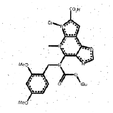 CCn1c(C(=O)O)cc2c3ncnc-3c(N(Cc3ccc(OC)cc3OC)C(=O)OC(C)(C)C)n(C)c21